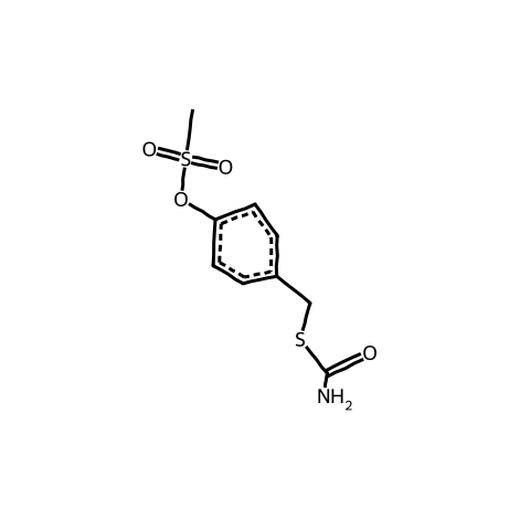 CS(=O)(=O)Oc1ccc(CSC(N)=O)cc1